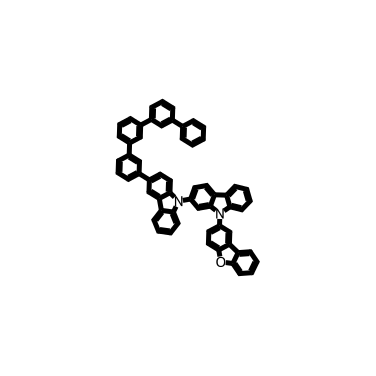 c1ccc(-c2cccc(-c3cccc(-c4cccc(-c5ccc6c(c5)c5ccccc5n6-c5ccc6c7ccccc7n(-c7ccc8oc9ccccc9c8c7)c6c5)c4)c3)c2)cc1